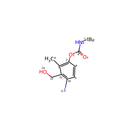 Cc1c(OC(=O)NC(C)(C)C)ccc(I)c1CO